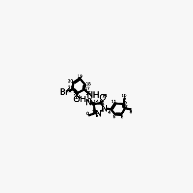 CC1=NN(c2ccc(C)c(C)c2)C(=O)C1=NNc1cccc(Br)c1O